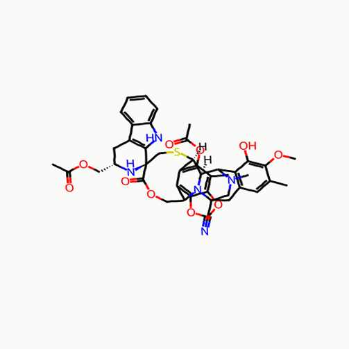 COc1c(C)cc2c(c1O)C1[C@@H]3[C@@H]4SC[C@]5(N[C@H](COC(C)=O)Cc6c5[nH]c5ccccc65)C(=O)OCC(c5c6c(c(C)c(OC(C)=O)c54)OCO6)N3C(C#N)(C2)CN1C